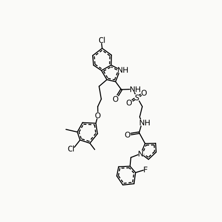 Cc1cc(OCCCc2c(C(=O)NS(=O)(=O)CCNC(=O)c3cccn3Cc3ccccc3F)[nH]c3cc(Cl)ccc23)cc(C)c1Cl